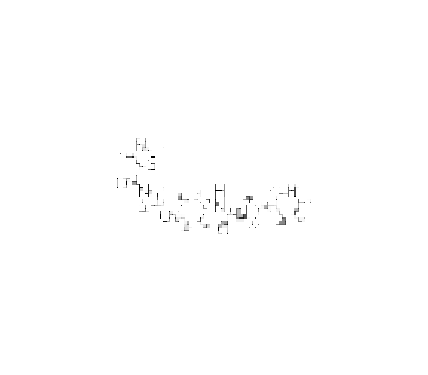 O=C(Nc1ccc(OC2CN(C(=O)c3cncs3)C2)cc1)N1CC(c2cccnc2)C1